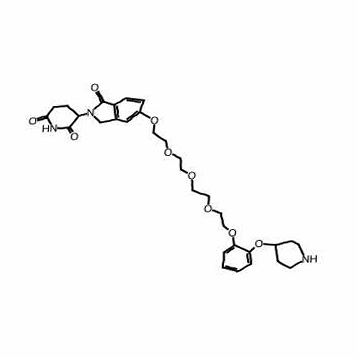 O=C1CCC(N2Cc3cc(OCCOCCOCCOCCOc4ccccc4OC4CCNCC4)ccc3C2=O)C(=O)N1